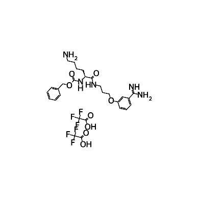 N=C(N)c1cccc(OCCCNC(=O)[C@H](CCCCN)NC(=O)OCc2ccccc2)c1.O=C(O)C(F)(F)F.O=C(O)C(F)(F)F